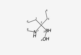 CCC(BO)(CC)NC